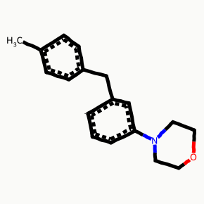 Cc1ccc(Cc2[c]ccc(N3CCOCC3)c2)cc1